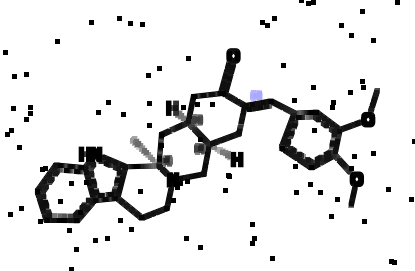 COc1ccc(/C=C2\C[C@H]3CN4CCc5c([nH]c6ccccc56)[C@@]4(C)C[C@H]3CC2=O)cc1OC